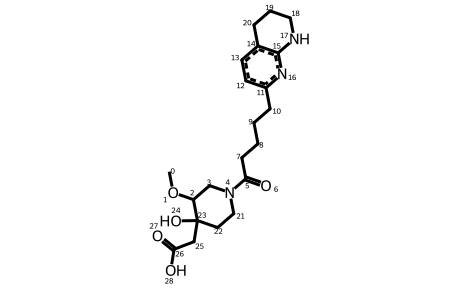 COC1CN(C(=O)CCCCc2ccc3c(n2)NCCC3)CCC1(O)CC(=O)O